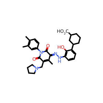 CC1=C(CN2CCCC2)C(=O)N(c2ccc(C)c(C)c2)C(=O)/C1=N/Nc1cccc(C2CCCC(C(=O)O)C2)c1O